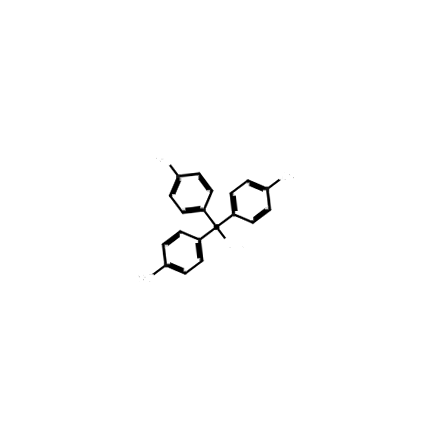 CC(c1ccc(C#N)cc1)(c1ccc(C#N)cc1)c1ccc(C#N)cc1